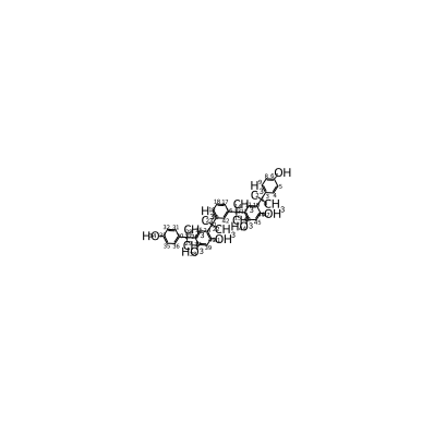 CC(C)(c1ccc(O)cc1)c1cc(C(C)(C)c2cccc(C(C)(C)c3cc(C(C)(C)c4ccc(O)cc4)c(O)cc3O)c2)c(O)cc1O